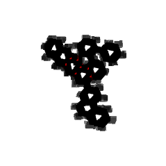 c1ccc(-c2ccccc2-c2c(-c3ccccc3)cccc2N(c2ccc(-c3ccc4c(ccc5ccccc54)c3)cc2)c2ccc3ccccc3c2)cc1